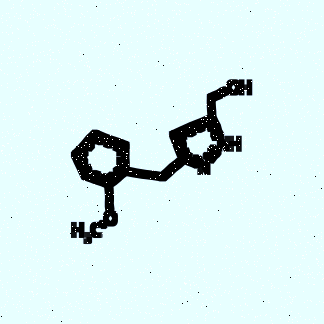 COc1ccccc1Cc1cc(CO)[nH]n1